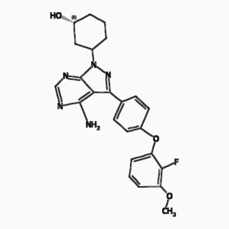 COc1cccc(Oc2ccc(-c3nn(C4CCC[C@@H](O)C4)c4ncnc(N)c34)cc2)c1F